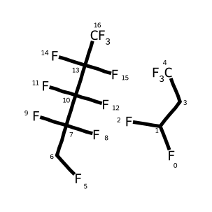 FC(F)CC(F)(F)F.FCC(F)(F)C(F)(F)C(F)(F)C(F)(F)F